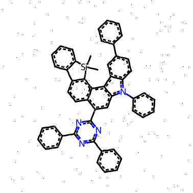 C[Si]1(C)c2ccccc2-c2ccc3c(-c4nc(-c5ccccc5)nc(-c5ccccc5)n4)cc4c(c5cc(-c6ccccc6)ccc5n4-c4ccccc4)c3c21